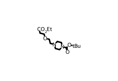 CCOC(=O)CCOCCN1CCN(C(=O)OC(C)(C)C)CC1